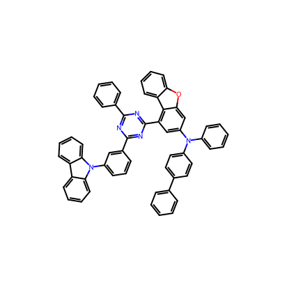 c1ccc(-c2ccc(N(c3ccccc3)c3cc(-c4nc(-c5ccccc5)nc(-c5cccc(-n6c7ccccc7c7ccccc76)c5)n4)c4c(c3)oc3ccccc34)cc2)cc1